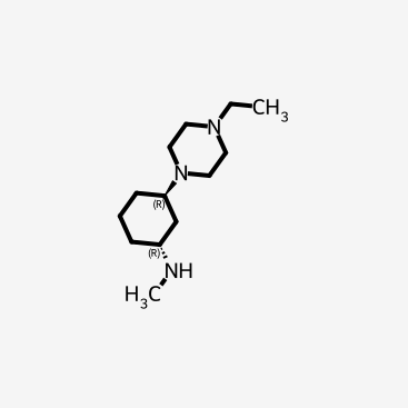 CCN1CCN([C@@H]2CCC[C@@H](NC)C2)CC1